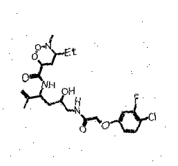 C=C(C)C(CC(O)CNC(=O)COc1ccc(Cl)c(F)c1)NC(=O)C1CC(CC)N(C)OO1